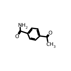 CC(=O)c1ccc(C(N)=O)cc1